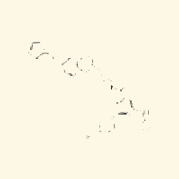 CC(C)N1CCN(c2nc(NC3COC3)cc(C(=O)NC[C@H](O)CN3CCc4cc(OCc5cnco5)ccc4C3)n2)CC1